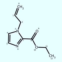 C=CCn1ccnc1C(=O)OCC